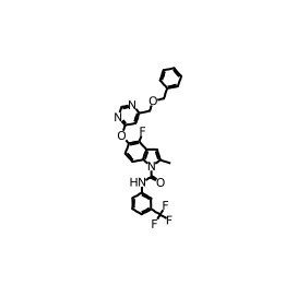 Cc1cc2c(F)c(Oc3cc(COCc4ccccc4)ncn3)ccc2n1C(=O)Nc1cccc(C(F)(F)F)c1